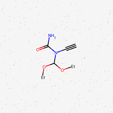 C#CN(C(N)=O)C(OCC)OCC